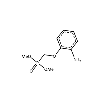 COP(=O)(COc1ccccc1N)OC